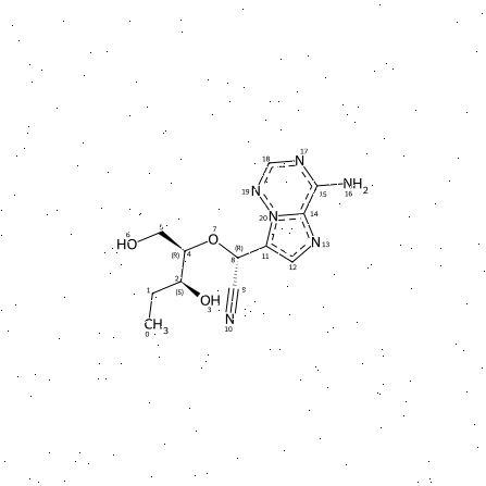 CC[C@H](O)[C@@H](CO)O[C@@H](C#N)c1cnc2c(N)ncnn12